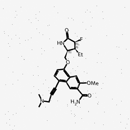 CC[C@@H]1[C@H](F)C(=O)N[C@@H]1COc1ccc(C#CCN(C)C)c2cc(C(N)=O)c(OC)cc12